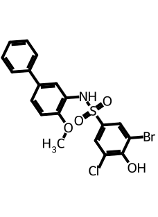 COc1ccc(-c2ccccc2)cc1NS(=O)(=O)c1cc(Cl)c(O)c(Br)c1